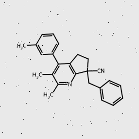 Cc1cccc(-c2c(C)c(C)nc3c2CCC3(C#N)Cc2ccccc2)c1